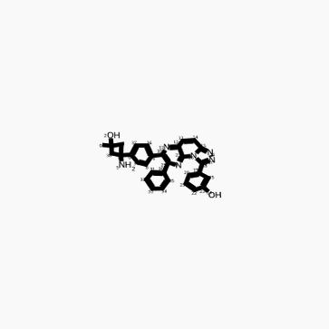 CC1(O)CC(N)(c2ccc(-c3nc4ccc5nnc(-c6cccc(O)c6)n5c4nc3-c3ccccc3)cc2)C1